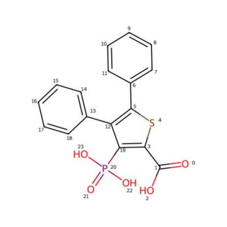 O=C(O)c1sc(-c2ccccc2)c(-c2ccccc2)c1P(=O)(O)O